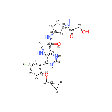 Cc1[nH]c2c(-c3cc(F)ccc3OCC3CC3)ncnc2c1C(=O)N[C@H]1CC[C@@H](NC(=O)CO)C1